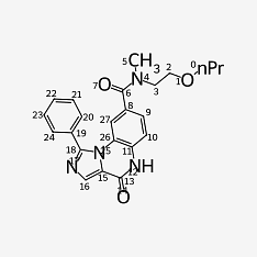 CCCOCCN(C)C(=O)c1ccc2[nH]c(=O)c3cnc(-c4ccccc4)n3c2c1